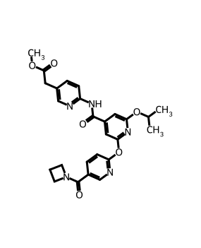 COC(=O)Cc1ccc(NC(=O)c2cc(Oc3ccc(C(=O)N4CCC4)cn3)nc(OC(C)C)c2)nc1